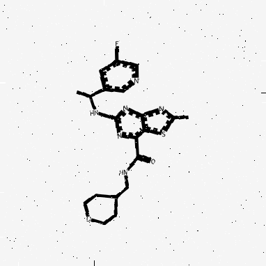 Cc1nc2nc(NC(C)c3cncc(F)c3)nc(C(=O)NCC3CCOCC3)c2s1